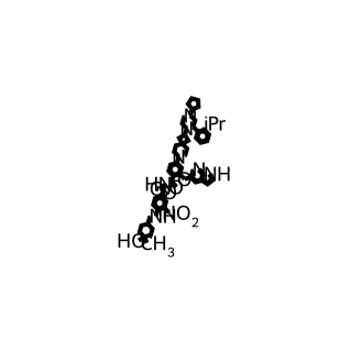 CC(C)c1ccccc1C1CN(C2CCCC2)CCN1C1CC2(CCN(c3ccc(C(=O)NS(=O)(=O)c4ccc(NCC5CCC(C)(O)CC5)c([N+](=O)[O-])c4)c(Oc4cnc5[nH]ccc5c4)c3)CC2)C1